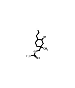 CC1(CNC(=N)N)CCC(CCF)C(Br)C1